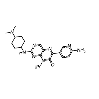 CC(C)n1c(=O)c(-c2ccc(N)nc2)nc2cnc(NC3CCC(N(C)C)CC3)nc21